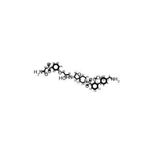 COc1c(-c2ccc(CN)cc2)cccc1S(=O)(=O)N1CCC2(CC1)C[C@H](NC[C@H](O)COc1cccc(S(=O)(=O)CC(N)=O)c1)CO2